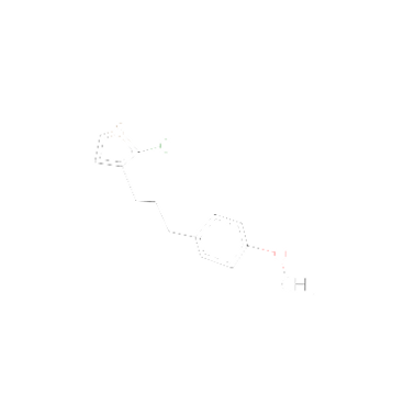 COc1ccc(CCCc2ccsc2Cl)cc1